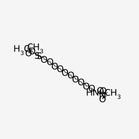 CC(C)C(=O)OCCSSCCOCCOCCOCCOCCOCCOCCOCCOCCOCCOCCNC(=O)CN1C(=O)CC(C)C1=O